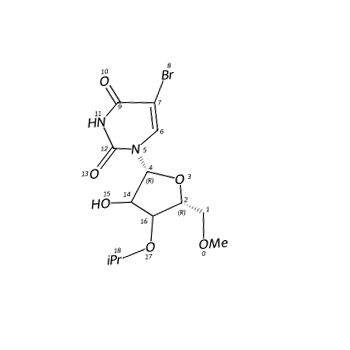 COC[C@H]1O[C@@H](n2cc(Br)c(=O)[nH]c2=O)C(O)C1OC(C)C